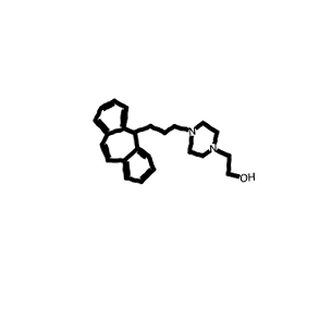 OCCN1CCN(CCCC2c3ccccc3C=Cc3ccccc32)CC1